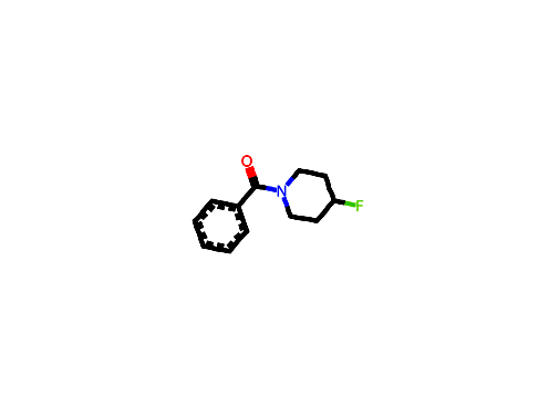 O=C(c1ccccc1)N1CCC(F)CC1